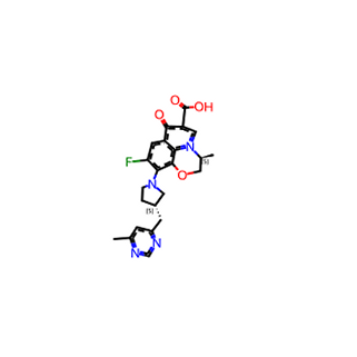 Cc1cc(C[C@@H]2CCN(c3c(F)cc4c(=O)c(C(=O)O)cn5c4c3OC[C@@H]5C)C2)ncn1